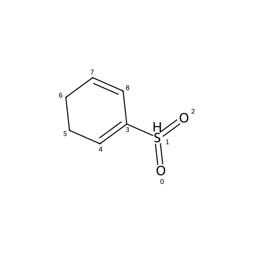 O=[SH](=O)C1=CCCC=C1